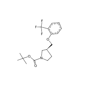 CC(C)(C)OC(=O)N1CC[C@H](COc2ccccc2C(F)(F)F)C1